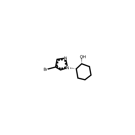 O[C@@H]1CCCC[C@@H]1n1cc(Br)cn1